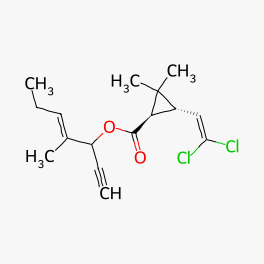 C#CC(OC(=O)[C@@H]1[C@@H](C=C(Cl)Cl)C1(C)C)C(C)=CCC